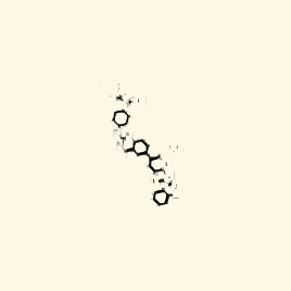 COc1nc(NS(=O)(=O)c2ccccc2Cl)c(F)cc1-c1ccc2nc(N[C@H]3CC[C@H](N(C)C(=O)OC(C)(C)C)CC3)ncc2c1